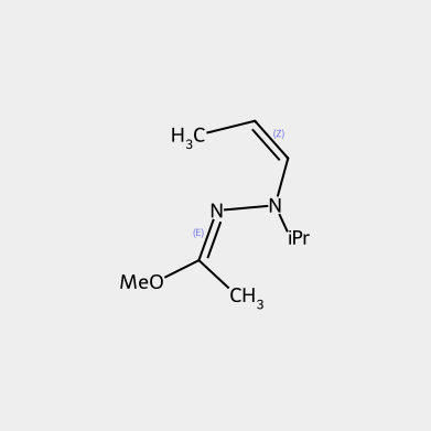 C/C=C\N(/N=C(\C)OC)C(C)C